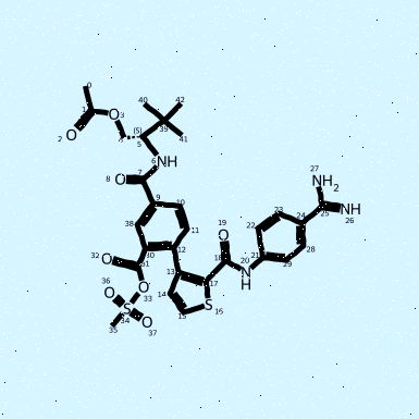 CC(=O)OC[C@@H](NC(=O)c1ccc(-c2ccsc2C(=O)Nc2ccc(C(=N)N)cc2)c(C(=O)OS(C)(=O)=O)c1)C(C)(C)C